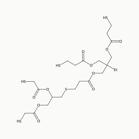 CCC(COC(=O)CCS)(COC(=O)CCS)COC(=O)CCSCC(COC(=O)CS)OC(=O)CS